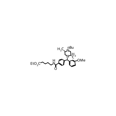 CCCCN1C[C@H](C)N([C@H](c2ccc(C(=O)NCCCCC(=O)OCC)cc2)c2cccc(OC)c2)C[C@H]1C